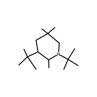 CC1C(C(C)(C)C)CC(C)(C)CN1C(C)(C)C